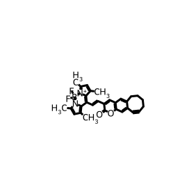 CC1=CC(C)=[N+]2C1=C(/C=C/c1cc3cc4c(cc3oc1=O)C#CCCCC4)c1c(C)cc(C)n1[B-]2(F)F